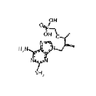 C=C(Cn1cnc2c(N)nc(N)nc21)C(C)OCP(=O)(O)O